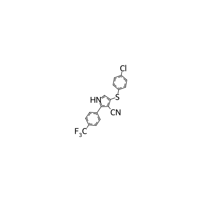 N#Cc1c(Sc2ccc(Cl)cc2)c[nH]c1-c1ccc(C(F)(F)F)cc1